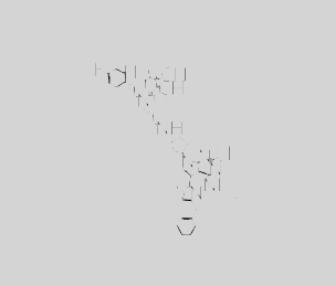 CC(C)(C)OC(=O)N(CCCNC[C@@H]1CC[C@H](n2cc(-c3nc(Cc4ccccc4)cs3)c3c(N)nc(Cl)nc32)C1)CCc1ccc(F)cc1